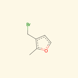 Cc1occc1CBr